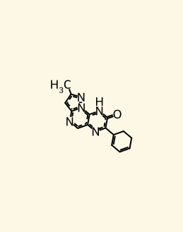 Cc1cc2ncc3nc(C4=CC=CCC4)c(=O)[nH]c3n2n1